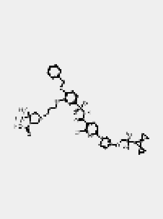 [2H]C([2H])(COc1ccn(-c2ccc(C(=O)NS(=O)(=O)c3ccc(OCc4ccccc4)c(NCCC[C@@H]4CN(C(=O)O)C(C)(C)C4)n3)c(Cl)n2)n1)C1C2(CC2)C12CC2